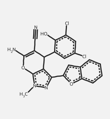 Cn1nc(-c2cc3ccccc3o2)c2c1OC(N)=C(C#N)C2c1cc(Cl)cc(Cl)c1O